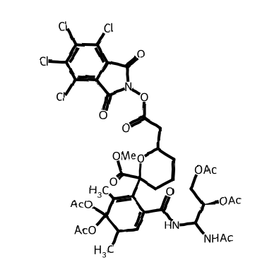 COC(=O)C1(C2=C(C)C(OC(C)=O)(OC(C)=O)C(C)C=C2C(=O)NC(NC(C)=O)[C@@H](COC(C)=O)OC(C)=O)CCCC(CC(=O)ON2C(=O)c3c(Cl)c(Cl)c(Cl)c(Cl)c3C2=O)O1